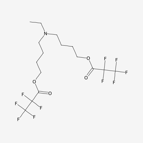 CCN(CCCCOC(=O)C(F)(F)C(F)(F)F)CCCCOC(=O)C(F)(F)C(F)(F)F